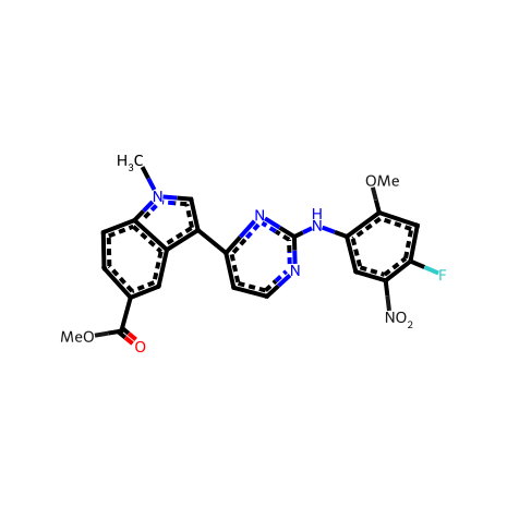 COC(=O)c1ccc2c(c1)c(-c1ccnc(Nc3cc([N+](=O)[O-])c(F)cc3OC)n1)cn2C